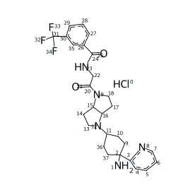 Cl.NC1(c2ccccn2)CCC(N2CCC3C2CCN3C(=O)CNC(=O)c2cccc(C(F)(F)F)c2)CC1